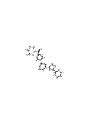 C=C(c1ccc(-c2cncc(-c3nnc(-c4ccccc4)o3)n2)cc1)N1CCNC(C)C1